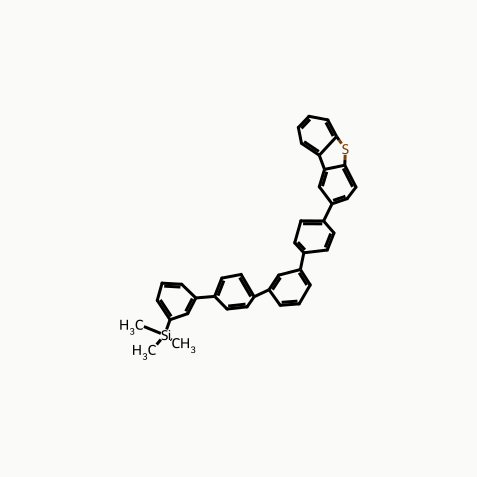 C[Si](C)(C)c1cccc(-c2ccc(-c3cccc(-c4ccc(-c5ccc6sc7ccccc7c6c5)cc4)c3)cc2)c1